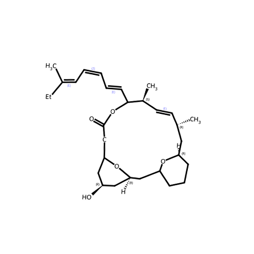 CC/C(C)=C/C=C\C=C\C1OC(=O)CC2C[C@H](O)C[C@H](CC3CCC[C@H](C[C@@H](C)/C=C/[C@@H]1C)O3)O2